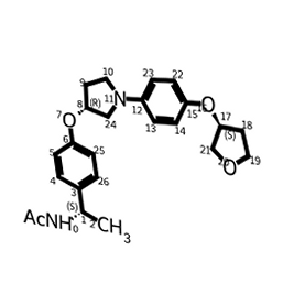 CC(=O)N[C@@H](C)c1ccc(O[C@@H]2CCN(c3ccc(O[C@H]4CCOC4)cc3)C2)cc1